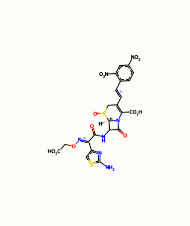 Nc1nc(/C(=N\OCC(=O)O)C(=O)NC2C(=O)N3C(C(=O)O)=C(/C=C/c4ccc([N+](=O)[O-])cc4[N+](=O)[O-])C[S+]([O-])[C@H]23)cs1